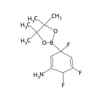 CC1(C)OB(C2(F)C=C(N)C(F)C(F)=C2)OC1(C)C